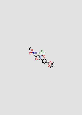 CC(C)(C)OC(=O)NCC1CN(C(=O)C(F)(F)F)C(c2ccc(B3OC(C)(C)C(C)(C)O3)cc2)CO1